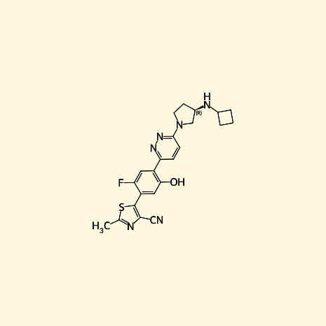 Cc1nc(C#N)c(-c2cc(O)c(-c3ccc(N4CC[C@@H](NC5CCC5)C4)nn3)cc2F)s1